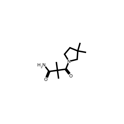 CC1(C)CCN(C(=O)C(C)(C)C(N)=O)C1